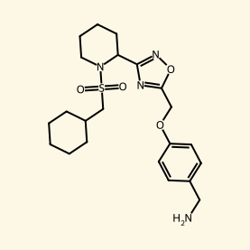 NCc1ccc(OCc2nc(C3CCCCN3S(=O)(=O)CC3CCCCC3)no2)cc1